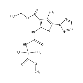 CCOC(=O)c1c(NC(=O)NC(C)(C)C(=O)OC)sc(-n2nccn2)c1C